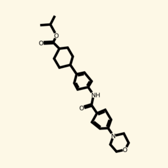 CC(C)OC(=O)C1CCC(c2ccc(NC(=O)c3ccc(N4CCOCC4)cc3)cc2)CC1